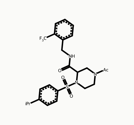 CC(=O)N1CCN(S(=O)(=O)c2ccc(C(C)C)cc2)C(C(=O)NCc2ccccc2C(F)(F)F)C1